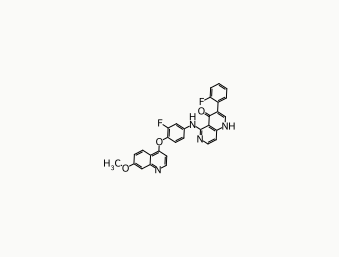 COc1ccc2c(Oc3ccc(Nc4nccc5[nH]cc(-c6ccccc6F)c(=O)c45)cc3F)ccnc2c1